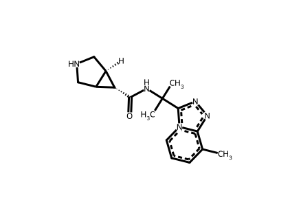 Cc1cccn2c(C(C)(C)NC(=O)[C@@H]3C4CNC[C@H]43)nnc12